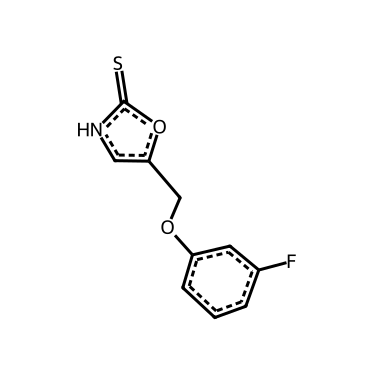 Fc1cccc(OCc2c[nH]c(=S)o2)c1